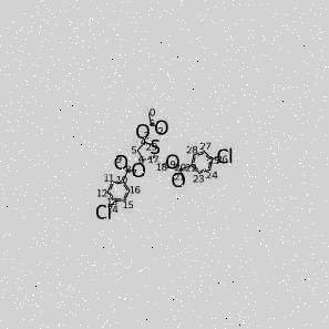 CC(=O)OC1C[C@@H](OC(=O)c2ccc(Cl)cc2)[C@@H](COC(=O)c2ccc(Cl)cc2)S1